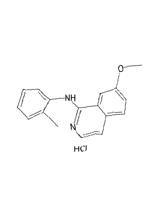 COc1ccc2ccnc(Nc3ccccc3C)c2c1.Cl